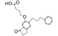 O=C(O)CCCOc1cc2c(cc1CCCc1ccccc1)CCC2=O